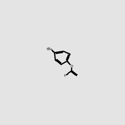 C=C(F)Oc1ccc(C(C)(C)C)cc1